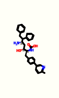 Cc1ccc(-c2ccc(C[C@H](NC(=O)O)[C@H](O)C[C@H](N)C(Cc3ccccc3)c3ccccc3)cc2)cn1